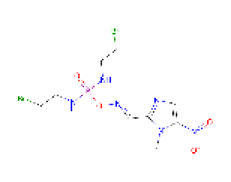 Cn1c([N+](=O)[O-])cnc1/C=N/OP(=O)(NCCBr)NCCBr